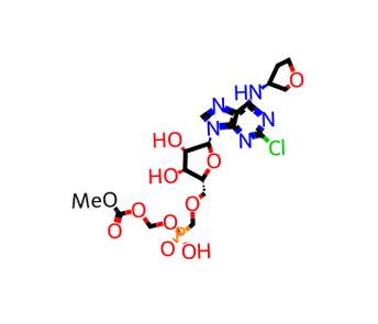 COC(=O)OCOP(=O)(O)COC[C@H]1O[C@@H](n2cnc3c(N[C@H]4CCOC4)nc(Cl)nc32)[C@H](O)[C@@H]1O